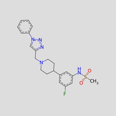 CS(=O)(=O)Nc1cc(F)cc(C2CCN(Cc3cn(-c4ccccc4)nn3)CC2)c1